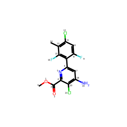 COC(=O)c1nc(-c2c(F)cc(Cl)c(C)c2F)cc(N)c1Cl